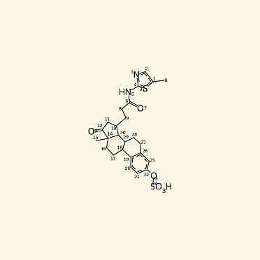 Cc1cnc(NC(=O)CCC2CC(=O)C3(C)CCC4c5ccc(OS(=O)(=O)O)cc5CCC4C23)s1